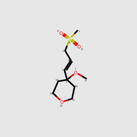 COC1(/C=C/CS(C)(=O)=O)CCOCC1